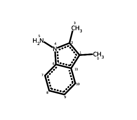 Cc1c(C)n(N)c2ccccc12